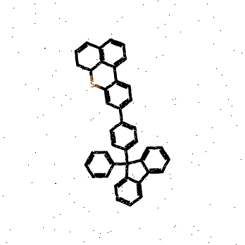 C1=Cc2cccc3c2C(C1)Sc1cc(-c2ccc(C4(c5ccccc5)c5ccccc5-c5ccccc54)cc2)ccc1-3